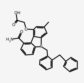 Cc1cc(OCC(=O)O)c2c3c(C(N)=O)cccc3n(Cc3ccccc3Cc3ccccc3)c2c1